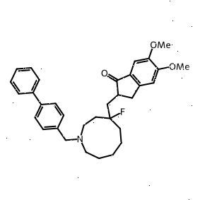 COc1cc2c(cc1OC)C(=O)C(CC1(F)CCCCCN(Cc3ccc(-c4ccccc4)cc3)CC1)C2